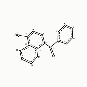 O=C(c1ccccc1)c1ccc(O)c2ncccc12